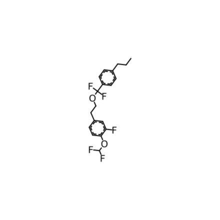 CCCc1ccc(C(F)(F)OCCc2ccc(OC(F)F)c(F)c2)cc1